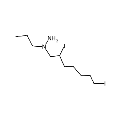 CCCN(N)CC(I)CCCCCI